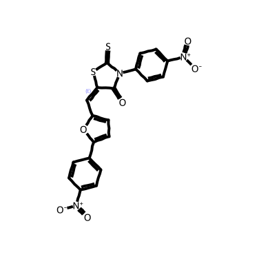 O=C1/C(=C\c2ccc(-c3ccc([N+](=O)[O-])cc3)o2)SC(=S)N1c1ccc([N+](=O)[O-])cc1